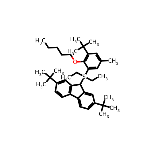 CCCCCOc1c(C(C)(C)C)cc(C)cc1[Si](CC)(CC)C1c2cc(C(C)(C)C)ccc2-c2ccc(C(C)(C)C)cc21